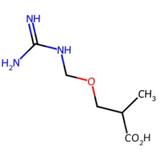 CC(COCNC(=N)N)C(=O)O